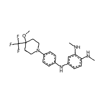 CNc1ccc(Nc2ccc(N3CCC(OC)(C(F)(F)F)CC3)cc2)cc1NC